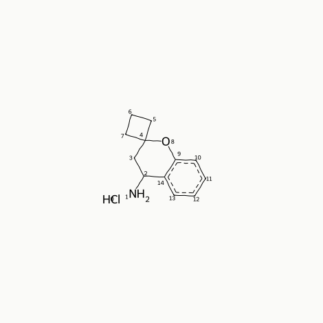 Cl.NC1CC2(CCC2)Oc2ccccc21